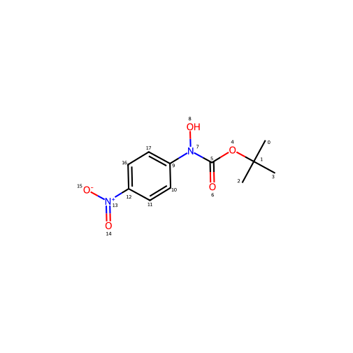 CC(C)(C)OC(=O)N(O)c1ccc([N+](=O)[O-])cc1